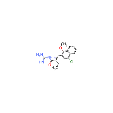 CC/C(=C\c1cc(Cl)c2ccccc2c1OC)C(=O)NC(=N)N